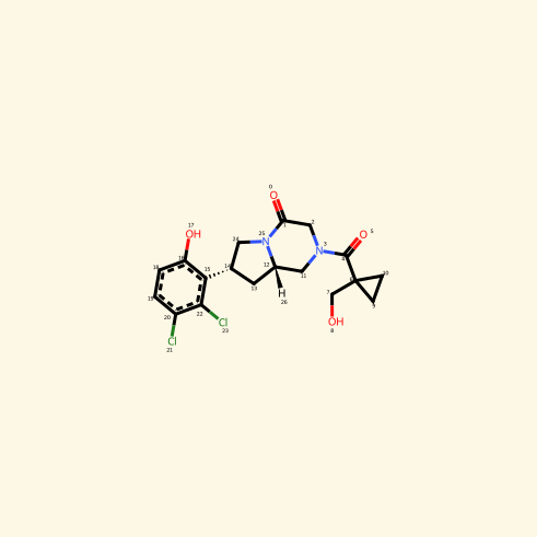 O=C1CN(C(=O)C2(CO)CC2)C[C@@H]2C[C@H](c3c(O)ccc(Cl)c3Cl)CN12